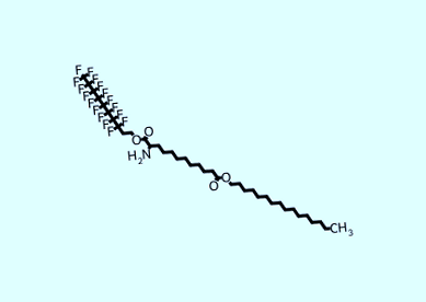 CCCCCCCCCCCCCCCCOC(=O)CCCCCCCCCC(N)C(=O)OCCC(F)(F)C(F)(F)C(F)(F)C(F)(F)C(F)(F)C(F)(F)C(F)(F)C(F)(F)F